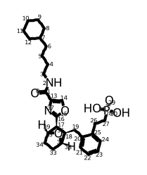 O=C(NCCCCC1CCCCC1)c1coc([C@H]2[C@@H](Cc3ccccc3CCP(=O)(O)O)[C@@H]3CC[C@H]2O3)n1